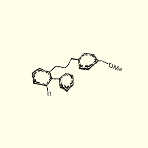 [CH2]Cc1cccc(CCCc2ccc(OC)cc2)c1-c1ccccc1